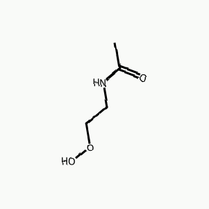 CC(=O)NCCOO